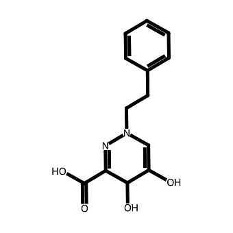 O=C(O)C1=NN(CCc2ccccc2)C=C(O)C1O